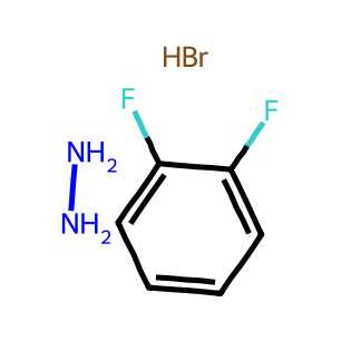 Br.Fc1ccccc1F.NN